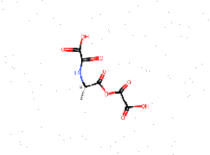 C[C@H](NC(=O)C(=O)O)C(=O)OC(=O)C(=O)O